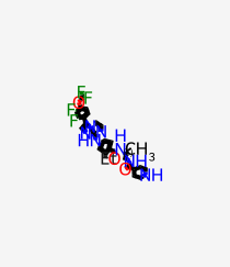 CCc1cc(Nc2nccn3c(-c4ccc(OC(F)F)c(F)c4F)cnc23)ccc1C(=O)N[C@@H](C)CNC(=O)C1CCNCC1